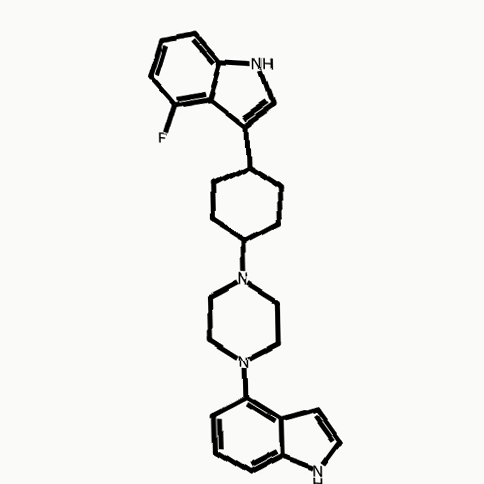 Fc1cccc2[nH]cc(C3CCC(N4CCN(c5cccc6[nH]ccc56)CC4)CC3)c12